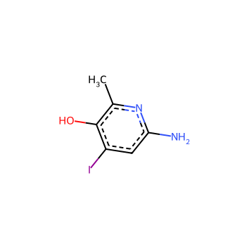 Cc1nc(N)cc(I)c1O